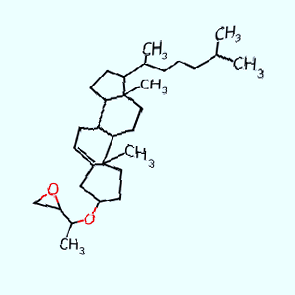 CC(C)CCCC(C)C1CCC2C3CC=C4CC(OC(C)C5CO5)CCC4(C)C3CCC12C